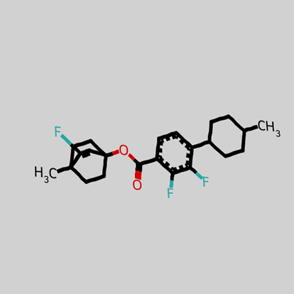 CC1CCC(c2ccc(C(=O)OC34C=C(F)C(C)(CC3)CC4)c(F)c2F)CC1